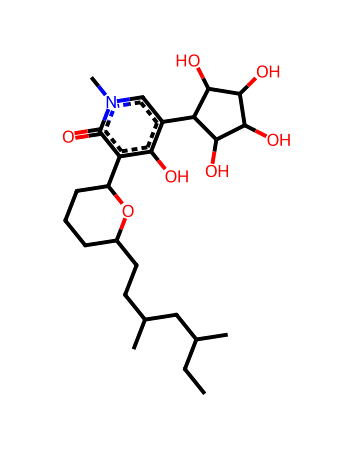 CCC(C)CC(C)CCC1CCCC(c2c(O)c(C3C(O)C(O)C(O)C3O)cn(C)c2=O)O1